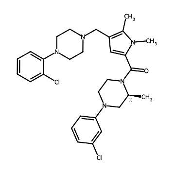 Cc1c(CN2CCN(c3ccccc3Cl)CC2)cc(C(=O)N2CCN(c3cccc(Cl)c3)C[C@@H]2C)n1C